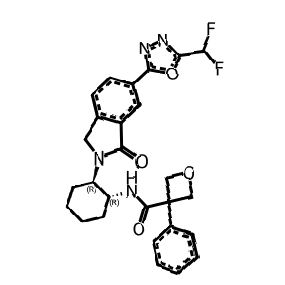 O=C1c2cc(-c3nnc(C(F)F)o3)ccc2CN1[C@@H]1CCCC[C@H]1NC(=O)C1(c2ccccc2)COC1